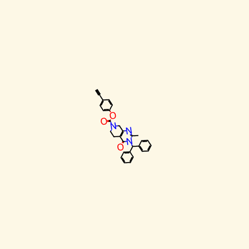 C#Cc1ccc(OC(=O)N2CCc3c(nc(C)n(C(c4ccccc4)c4ccccc4)c3=O)C2)cc1